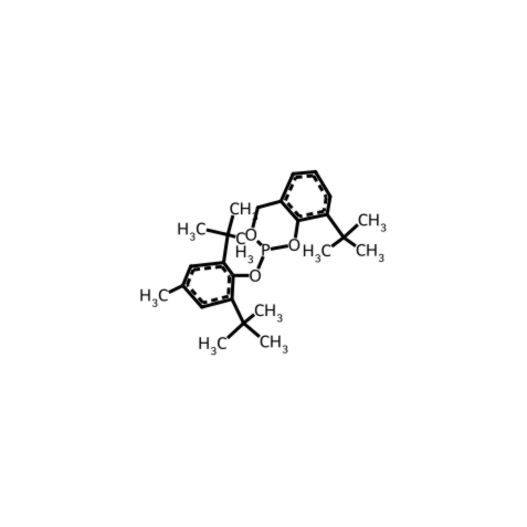 Cc1cc(C(C)(C)C)c(OP2OCc3cccc(C(C)(C)C)c3O2)c(C(C)(C)C)c1